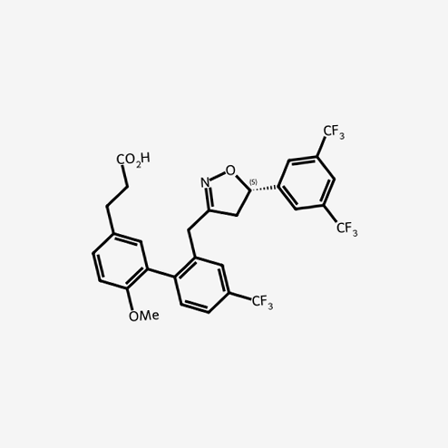 COc1ccc(CCC(=O)O)cc1-c1ccc(C(F)(F)F)cc1CC1=NO[C@H](c2cc(C(F)(F)F)cc(C(F)(F)F)c2)C1